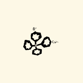 [Br-].[Ca+2].c1ccc([B-](c2ccccc2)(c2ccccc2)c2ccccc2)cc1